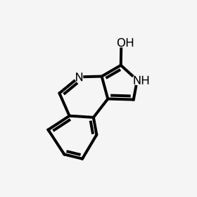 Oc1[nH]cc2c1ncc1ccccc12